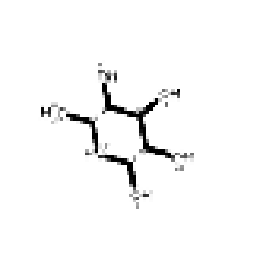 CCNCO.OCC(O)CO